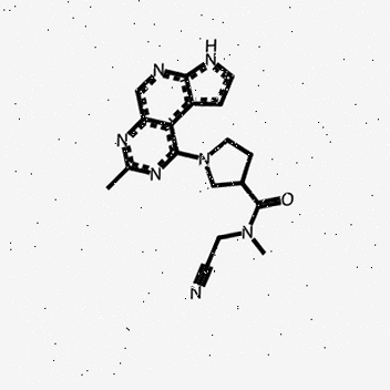 Cc1nc(N2CCC(C(=O)N(C)CC#N)C2)c2c(cnc3[nH]ccc32)n1